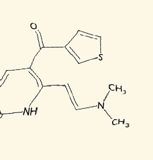 CN(C)/C=C/c1[nH]c(=O)ccc1C(=O)c1ccsc1